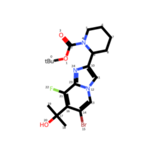 CC(C)(C)OC(=O)N1CCCCC1c1cn2cc(Br)c(C(C)(C)O)c(F)c2n1